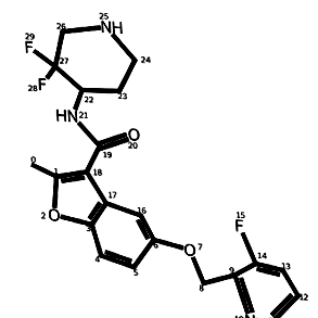 Cc1oc2ccc(OCc3ncccc3F)cc2c1C(=O)NC1CCNCC1(F)F